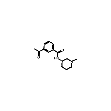 CC(=O)c1cccc(C(=O)N[C@@H]2CCCN(C)C2)c1